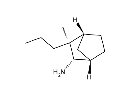 CCC[C@@]1(C)[C@@H]2CC[C@@H](C2)[C@@H]1N